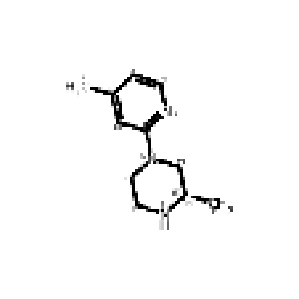 Cc1ccnc(N2CCN[C@H](C)C2)c1